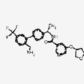 C[C@@H](NC(=O)c1cncc(O[C@H]2CCOC2)c1)c1ccc(-c2cc(C(F)(F)F)ccc2CN)cc1